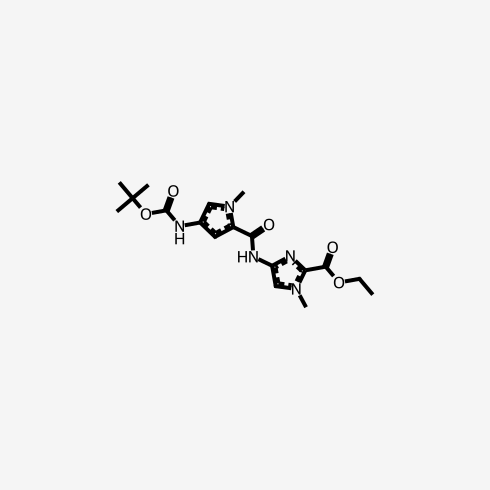 CCOC(=O)c1nc(NC(=O)c2cc(NC(=O)OC(C)(C)C)cn2C)cn1C